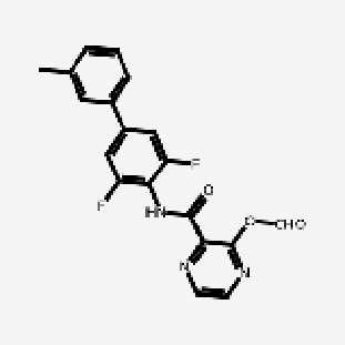 Cc1cccc(-c2cc(F)c(NC(=O)c3nccnc3OC=O)c(F)c2)c1